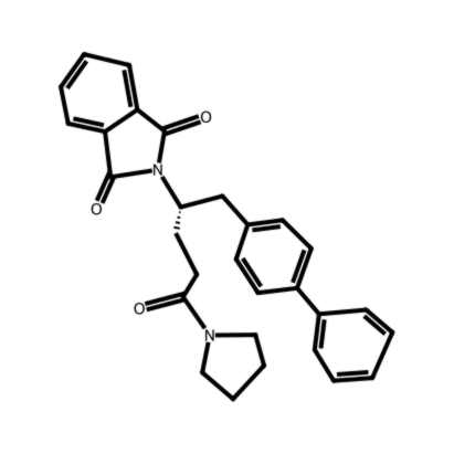 O=C(CC[C@@H](Cc1ccc(-c2ccccc2)cc1)N1C(=O)c2ccccc2C1=O)N1CCCC1